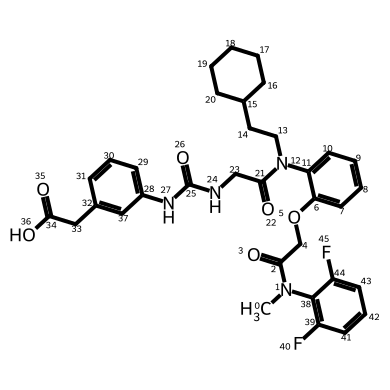 CN(C(=O)COc1ccccc1N(CCC1CCCCC1)C(=O)CNC(=O)Nc1cccc(CC(=O)O)c1)c1c(F)cccc1F